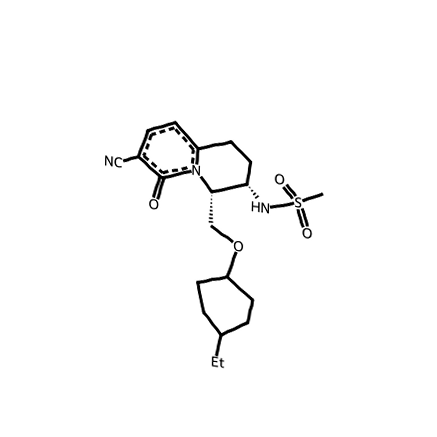 CCC1CCC(OC[C@H]2[C@@H](NS(C)(=O)=O)CCc3ccc(C#N)c(=O)n32)CC1